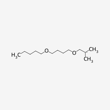 CCCCCOCCCCOC[C](C)C